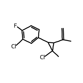 C=C(C)C1C(c2ccc(F)c(Cl)c2)C1(C)Cl